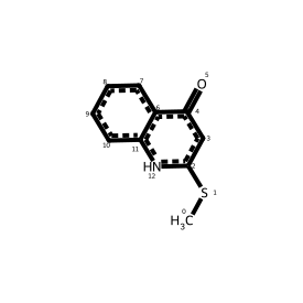 CSc1cc(=O)c2ccccc2[nH]1